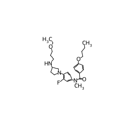 CCCCOc1ccc(C(=O)N(C)c2ccc(N3CCC(NCCCOCC)C3)c(F)c2)cc1